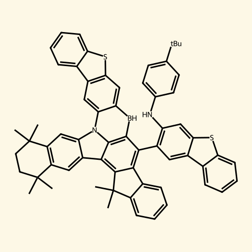 CC(C)(C)c1ccc(Nc2cc3sc4ccccc4c3cc2-c2c3c(c4c5cc6c(cc5n5c4c2Bc2cc4sc7ccccc7c4cc2-5)C(C)(C)CCC6(C)C)C(C)(C)c2ccccc2-3)cc1